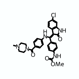 COC(=O)Nc1ccc(C(Nc2ccc(C(=O)N3CCN(C)CC3)cc2)=C2C(=O)Nc3cc(Cl)ccc32)cc1